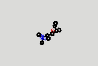 C1=CC2=Cc3c(oc4cc(-c5ccc(-c6nc(-c7ccccc7)nc(-c7ccccc7)n6)c6ccccc56)ccc34)C(c3ccc4ccccc4c3)C2C=C1